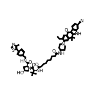 CCc1cc2c(cc1N1CCC(NC(=O)CCCCCCCC(=O)N[C@H](C(=O)N3C[C@H](O)C[C@H]3C(=O)NCc3ccc(-c4scnc4C)cc3)C(C)(C)C)CC1)C(C)(C)c1[nH]c3cc(C#N)ccc3c1C2=O